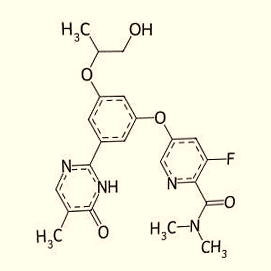 Cc1cnc(-c2cc(Oc3cnc(C(=O)N(C)C)c(F)c3)cc(OC(C)CO)c2)[nH]c1=O